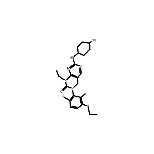 CCOc1ccc(F)c(N2Cc3cnc(NC4CCC(O)CC4)nc3N(CC)C2=O)c1F